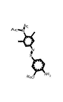 COc1cc(N=Nc2cc(C)c(N(C(C)=O)C(C)=O)c(C)c2)ccc1N